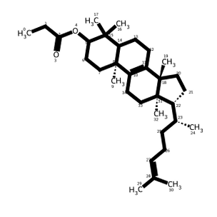 CCC(=O)OC1CC[C@]2(C)C3=C(CCC2C1(C)C)[C@]1(C)CC[C@H]([C@H](C)CCC=C(C)C)[C@@]1(C)CC3